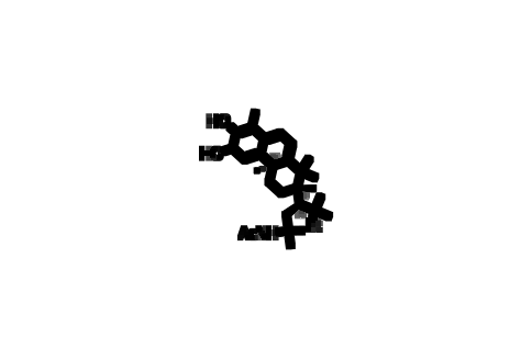 CCC(C)(C)[C@@H](CC(C)(C)NC(C)=O)[C@]1(C)CC[C@@]2(C)C3=CC(O)C(O)=C(C)C3=CC=C2C1(C)C